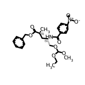 CCOC(OC)OC[C@H](C[C@H](C)C(=O)OCc1ccccc1)NC(=O)c1ccc([N+](=O)[O-])cc1